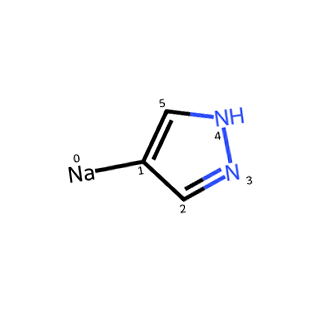 [Na][c]1cn[nH]c1